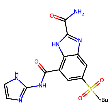 CCCCS(=O)(=O)c1cc(C(=O)Nc2ncc[nH]2)c2[nH]c(C(N)=O)nc2c1